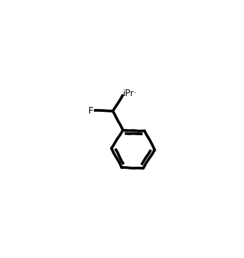 C[C](C)C(F)c1ccccc1